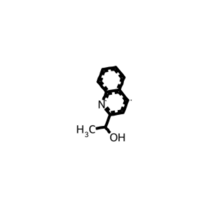 CC(O)c1c[c]c2ccccc2n1